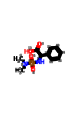 CN(C)S(=O)(=O)NC(C(=O)O)c1ccccc1